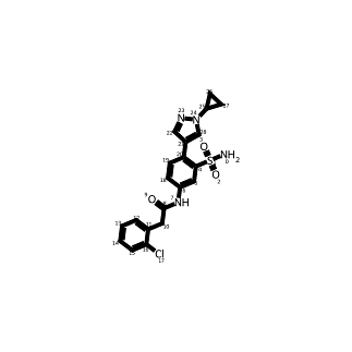 NS(=O)(=O)c1cc(NC(=O)Cc2ccccc2Cl)ccc1-c1cnn(C2CC2)c1